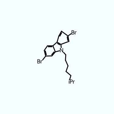 CC(C)CCCCCn1c2cc(Br)ccc2c2ccc(Br)cc21